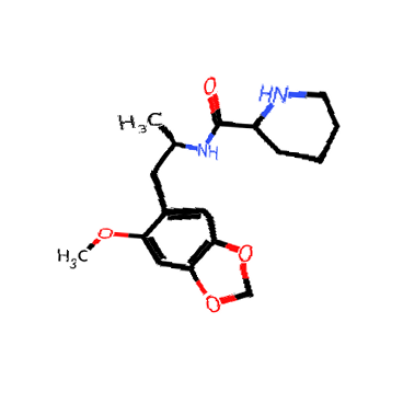 COc1cc2c(cc1CC(C)NC(=O)C1CCCCN1)OCO2